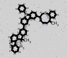 C=C1/C=C\C=C(\c2ccc3c(c2)c2cc(-c4ccc5c(c4)-c4ccc6sc7ccccc7c6c4C5(C)C)ccc2n3-c2ccccc2)CSc2ccccc21